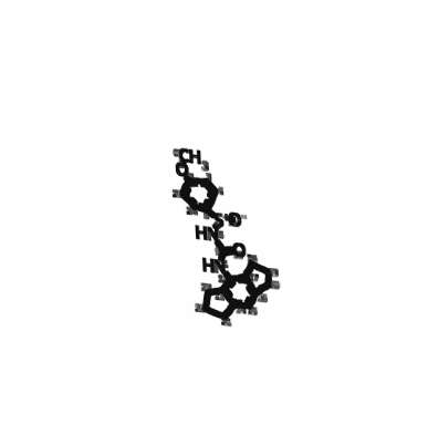 COc1ccc([S+]([O-])NC(=O)Nc2c3c(cc4c2CCC4)CCC3)cc1